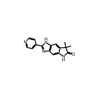 CC1(C)C(=O)Nc2cc3nc(-c4ccncc4)[nH]c3cc21